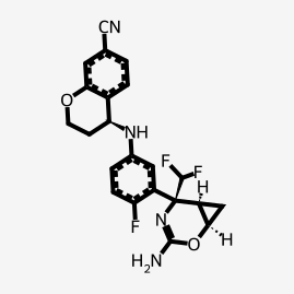 N#Cc1ccc2c(c1)OCC[C@@H]2Nc1ccc(F)c([C@@]2(C(F)F)N=C(N)O[C@@H]3C[C@@H]32)c1